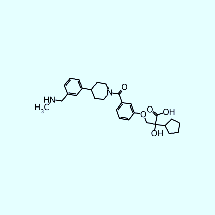 CNCc1cccc(C2CCN(C(=O)c3cccc(OCC(O)(C(=O)O)C4CCCC4)c3)CC2)c1